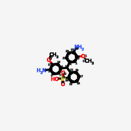 COc1cc(C(c2ccc(N)c(OC)c2)c2ccccc2S(=O)(=O)O)ccc1N